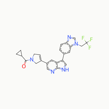 O=C(C1CC1)N1CC=C(c2cnc3[nH]cc(-c4ccc5ncn(CC(F)(F)F)c5c4)c3c2)C1